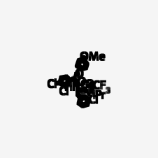 COc1ccc(OC[C@@H](C(=O)N[C@@H](Cc2cccc(Cl)c2)C(=O)N[C@H](C(=O)C(F)(F)F)C(C)C)c2ccc(Cl)c(Cl)c2)cc1